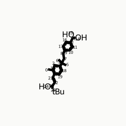 Cc1cc(C(C)(C)CCc2ccc(C(O)O)cc2)ccc1C=CC(O)C(C)(C)C